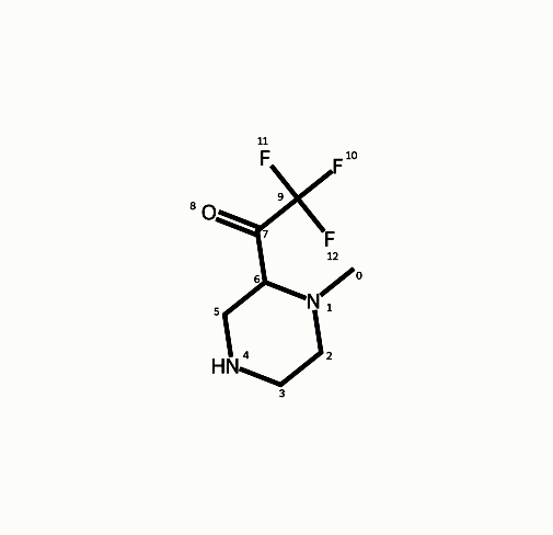 CN1CCNCC1C(=O)C(F)(F)F